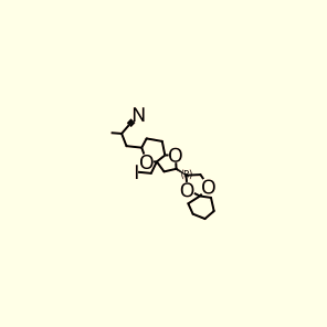 CC(C#N)CC1CCC2OC([C@H]3COC4(CCCCC4)O3)CC2(CI)O1